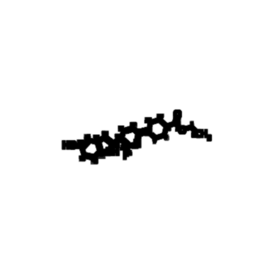 CCOC(=O)C1CCN(c2ccc(-c3cc4cc(O)ccc4[nH]3)c(F)n2)CC1